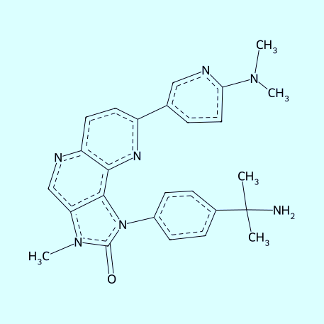 CN(C)c1ccc(-c2ccc3ncc4c(c3n2)n(-c2ccc(C(C)(C)N)cc2)c(=O)n4C)cn1